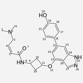 CN(C)C/C=C\C(=O)NC1CC(Oc2cc(-c3ccc(O)cc3)cc3[nH]ncc23)C1